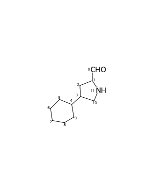 O=CC1CC(C2CCCCC2)CN1